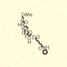 COCCOC(=O)Nc1ccn([C@@H]2O[C@H](COC(=O)CCCCC(=O)Nc3ccccc3)[C@@H](O)C2(F)F)c(=O)n1